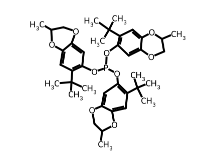 CC1COc2cc(OP(Oc3cc4c(cc3C(C)(C)C)OC(C)CO4)Oc3cc4c(cc3C(C)(C)C)OC(C)CO4)c(C(C)(C)C)cc2O1